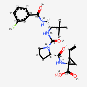 C=CC1C[C@]1(NC(=O)[C@@H]1CCCN1C(=O)N[C@H](CNC(=O)c1cccc(F)c1)C(C)(C)C)C(=O)O